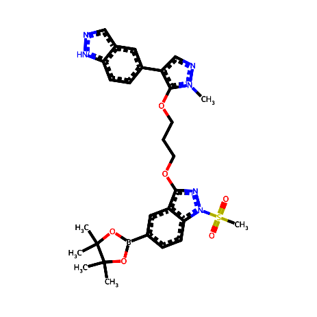 Cn1ncc(-c2ccc3[nH]ncc3c2)c1OCCCOc1nn(S(C)(=O)=O)c2ccc(B3OC(C)(C)C(C)(C)O3)cc12